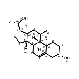 C[C@H](O)[C@H]1CC[C@H]2[C@@H]3CC=C4C[C@@H](O)CC[C@]4(C)[C@H]3[C@H](C)C[C@]12C